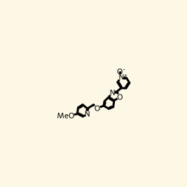 COc1ccc(COc2ccc3oc(-c4ccc[n+]([O-])c4)nc3c2)nc1